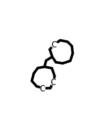 C1CCCCC(CC2CCCCCCCCC2)CCCC1